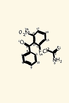 NC(=S)Cl.O=C(c1ccccc1)c1c(F)cccc1[N+](=O)[O-]